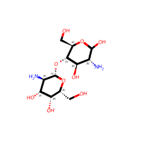 N[C@H]1[C@H](O[C@H]2[C@H](O)[C@@H](N)C(O)O[C@@H]2CO)O[C@H](CO)[C@H](O)[C@@H]1O